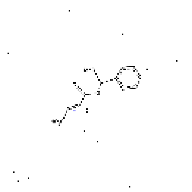 COC(OC(=O)/C=C/C(=O)O)c1ccccc1